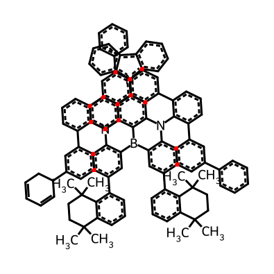 CC1(C)CCC(C)(C)c2c(-c3ccc4c(c3)B3c5cc(-c6cccc7c6C(C)(C)CCC7(C)C)ccc5N(c5c(-c6cccc(-c7ccccc7)c6)cccc5-c5cccc(C6C=CC=CC6)c5)c5cc(-n6c7ccccc7c7ccccc76)cc(c53)N4c3c(-c4cccc(-c5ccccc5)c4)cccc3-c3cccc(-c4ccccc4)c3)cccc21